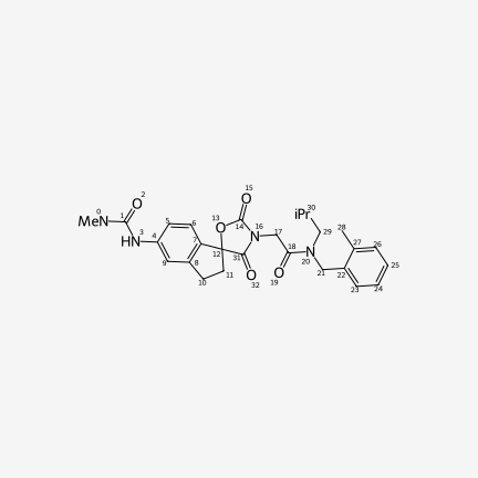 CNC(=O)Nc1ccc2c(c1)CCC21OC(=O)N(CC(=O)N(Cc2ccccc2C)CC(C)C)C1=O